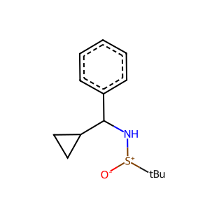 CC(C)(C)[S+]([O-])NC(c1ccccc1)C1CC1